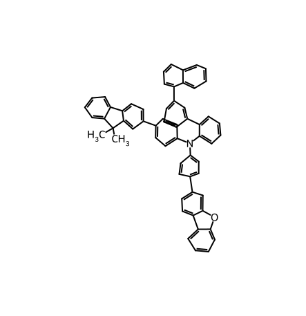 CC1(C)c2ccccc2-c2ccc(-c3ccc(N(c4ccc(-c5ccc6c(c5)oc5ccccc56)cc4)c4ccccc4-c4cccc(-c5cccc6ccccc56)c4)cc3)cc21